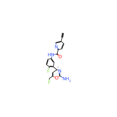 C#Cc1ccc(C(=O)Nc2ccc(F)c([C@]3(C)C=C(CF)OC(N)=N3)c2)nc1